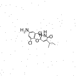 CCC(C)c1cc(Oc2c(Cl)cc(N)cc2Cl)n[nH]c1=O